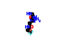 Nc1ncc(-c2cccc(C(=O)NCc3ccccc3OC(F)(F)F)c2)nc1C(=O)N[C@H]1CCCNC1